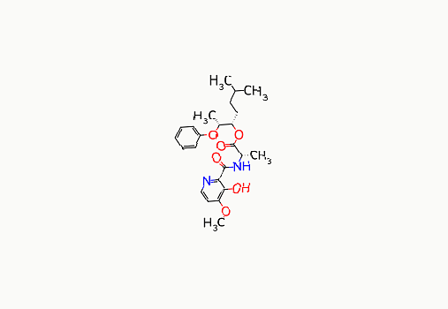 COc1ccnc(C(=O)N[C@@H](C)C(=O)O[C@@H](CCC(C)C)[C@@H](C)Oc2ccccc2)c1O